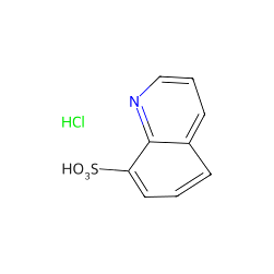 Cl.O=S(=O)(O)c1cccc2cccnc12